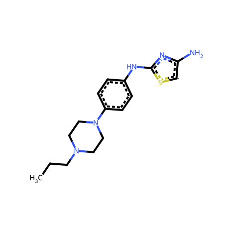 CCCN1CCN(c2ccc(Nc3nc(N)[c]s3)cc2)CC1